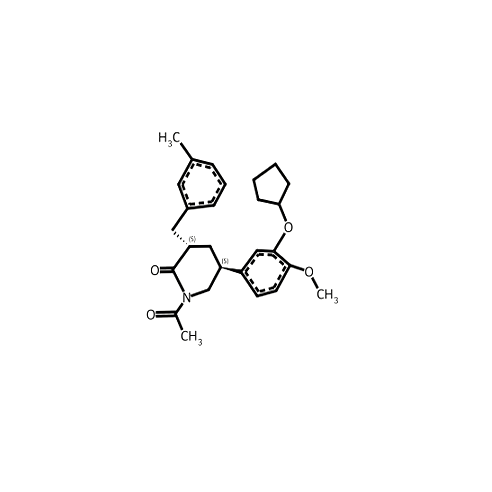 COc1ccc([C@@H]2C[C@@H](Cc3cccc(C)c3)C(=O)N(C(C)=O)C2)cc1OC1CCCC1